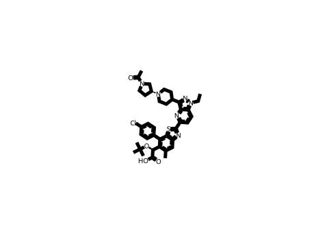 CCn1nc(C2CCN([C@@H]3CCN(C(C)=O)C3)CC2)c2nc(-c3nc4cc(C)c([C@H](OC(C)(C)C)C(=O)O)c(-c5ccc(Cl)cc5)c4s3)ccc21